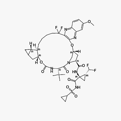 COc1ccc2nc3c(nc2c1)O[C@@H]1C[C@@H](C(=O)N[C@]2(C(=O)NS(=O)(=O)C4CC4)C[C@H]2C(F)F)N(C1)C(=O)[C@H](C(C)(C)C)NC(=O)O[C@@H]1CC2C[C@@H]2[C@H]1CCCCC3(F)F